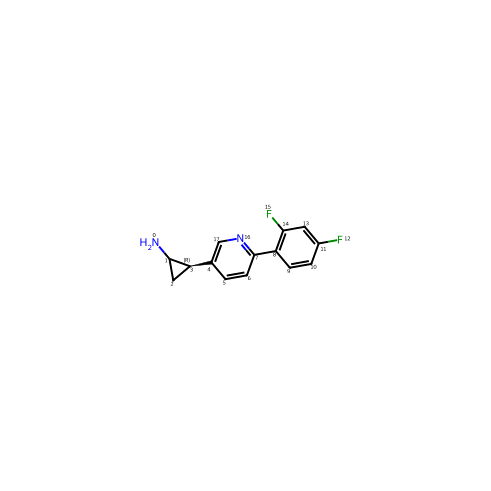 NC1C[C@@H]1c1ccc(-c2ccc(F)cc2F)nc1